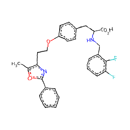 Cc1oc(-c2ccccc2)nc1CCOc1ccc(CC(NCc2cccc(F)c2F)C(=O)O)cc1